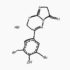 Br.CC(C)(C)c1cc(C2=NN3C(=O)CN=C3SC2)cc(C(C)(C)C)c1O